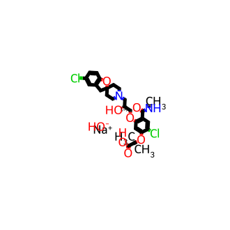 CNC(=O)c1cc(Cl)c(OC(C)(C)C(=O)O)cc1OC[C@@H](O)CN1CCC2(CC1)Cc1cc(Cl)ccc1O2.[Na+].[OH-]